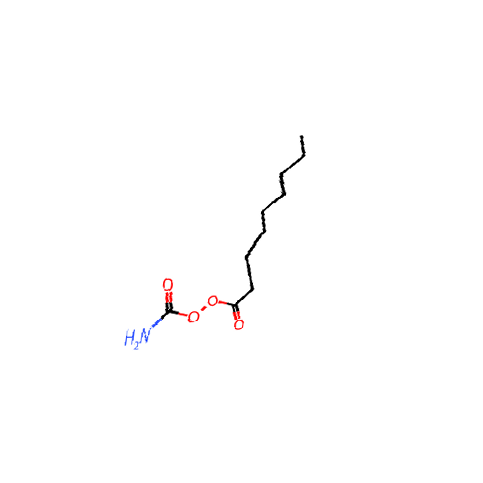 CCCCCCCCC(=O)OOC(N)=O